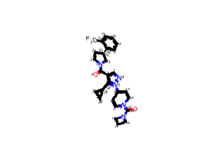 O=C(c1cnn(C2CCN(C(=O)N3CCC3)CC2)c1C1CC1)N1CC[C@@H](c2ccccc2C(F)(F)F)C1